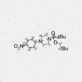 CC(C)(C)COP(=O)(N1CCN(c2ccc([N+](=O)[O-])cc2)CC1)C(C)(C)C